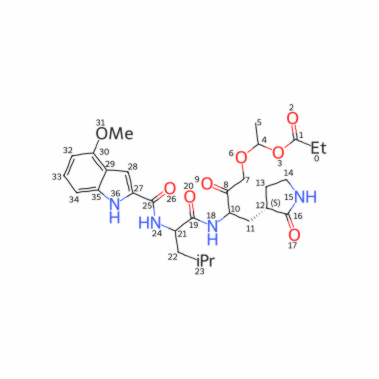 CCC(=O)OC(C)OCC(=O)C(C[C@@H]1CCNC1=O)NC(=O)C(CC(C)C)NC(=O)c1cc2c(OC)cccc2[nH]1